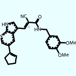 COc1ccc(CNC(=O)/C(C#N)=C/c2c[nH]c3ncc(C4=CCCC4)cc23)cc1OC